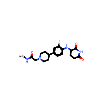 CCCNC(=O)CN1CCC(c2ccc(NC3CCC(=O)NC3=O)c(F)c2)CC1